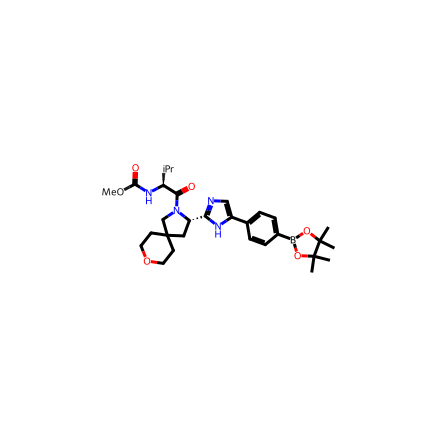 COC(=O)N[C@H](C(=O)N1CC2(CCOCC2)C[C@H]1c1ncc(-c2ccc(B3OC(C)(C)C(C)(C)O3)cc2)[nH]1)C(C)C